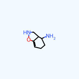 NC1CCC=C2ONCC21